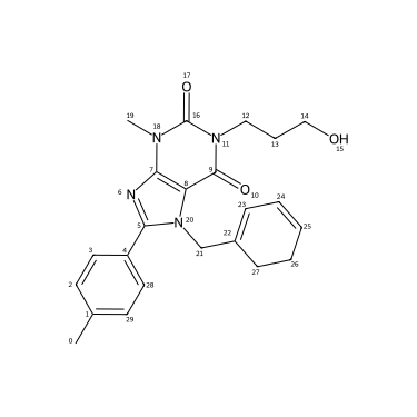 Cc1ccc(-c2nc3c(c(=O)n(CCCO)c(=O)n3C)n2CC2=CC=CCC2)cc1